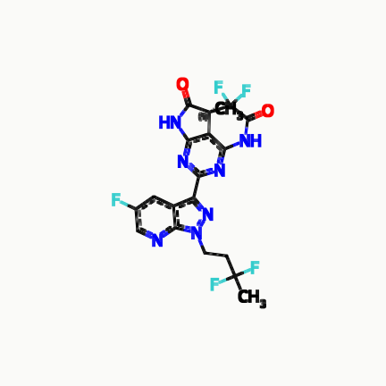 CC(F)(F)CCn1nc(-c2nc3c4c(n2)NC(=O)[C@@]4(C)C(F)(F)C(=O)N3)c2cc(F)cnc21